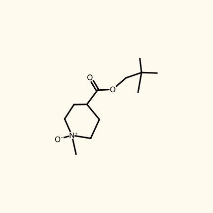 CC(C)(C)COC(=O)C1CC[N+](C)([O-])CC1